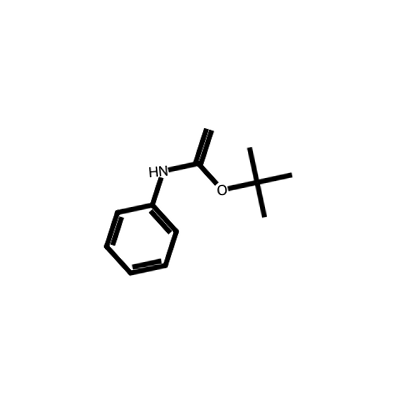 C=C(Nc1ccccc1)OC(C)(C)C